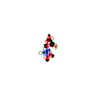 CCOC(=O)C(Cc1cccc(OC(F)(F)F)c1)(OC[C@H]1O[C@@H](n2cnc3c(N(C(=O)OC(C)(C)C)C(=O)OC(C)(C)C)nc(Cl)nc32)[C@@H](F)[C@@H]1C)C(C)=O